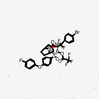 NC1CC2CCC(C1)N2C(=O)[C@H](N(OC(=O)C(F)(F)F)S(=O)(=O)c1ccc(Oc2ccc(F)cc2)cc1)C(F)(F)c1ccc(Br)cc1